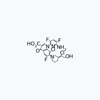 Nc1nc(-n2cc(C(=O)O)c(=O)c3cc(F)c(N4CCCC(=C(Cl)CO)C4)c(Cl)c32)c(F)cc1F